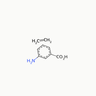 C=C.Nc1cccc(C(=O)O)c1